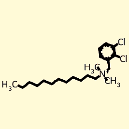 CCCCCCCCCCCC[N+](C)(C)Cc1cccc(Cl)c1Cl